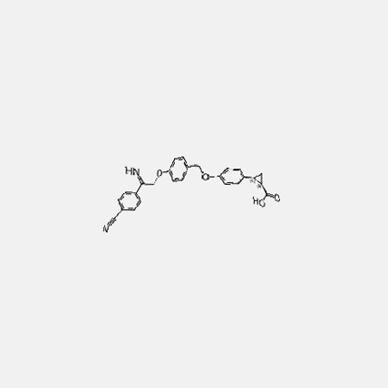 N#Cc1ccc(C(=N)COc2ccc(COc3ccc([C@H]4C[C@H]4C(=O)O)cc3)cc2)cc1